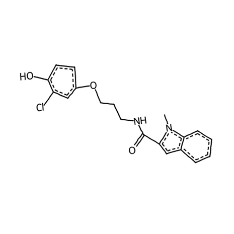 Cn1c(C(=O)NCCCOc2ccc(O)c(Cl)c2)cc2ccccc21